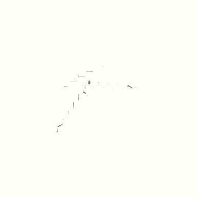 CCCCCCCCC=CCCCCCCCC(=O)N(C)C(=O)CCCCCCCC=CCCCCCCCC.CCCCCCCCCCCCCCCCCC(=O)O